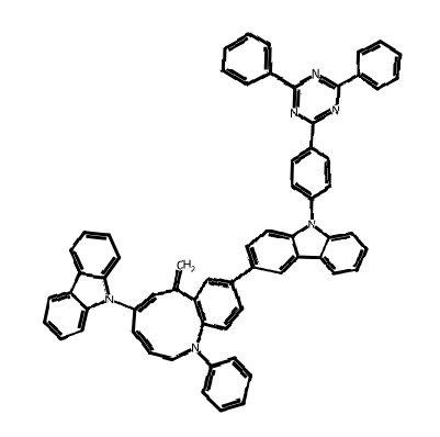 C=C1/C=C(n2c3ccccc3c3ccccc32)\C=C/CN(c2ccccc2)c2ccc(-c3ccc4c(c3)c3ccccc3n4-c3ccc(-c4nc(-c5ccccc5)nc(-c5ccccc5)n4)cc3)cc21